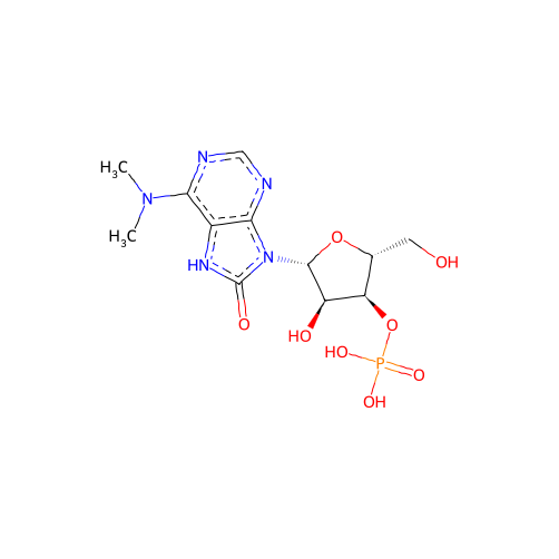 CN(C)c1ncnc2c1[nH]c(=O)n2[C@@H]1O[C@H](CO)[C@@H](OP(=O)(O)O)[C@H]1O